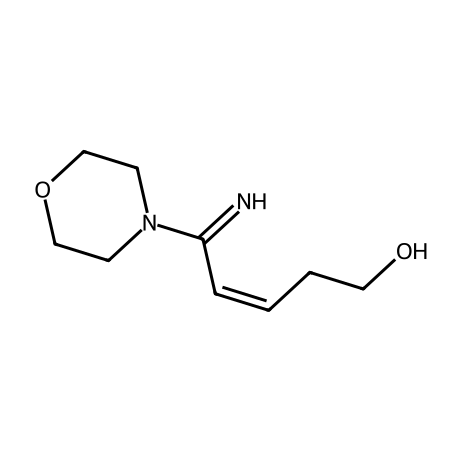 N=C(/C=C\CCO)N1CCOCC1